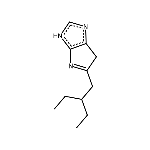 CCC(CC)CC1=Nc2[nH]cnc2C1